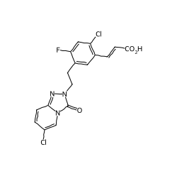 O=C(O)/C=C/c1cc(CCn2nc3ccc(Cl)cn3c2=O)c(F)cc1Cl